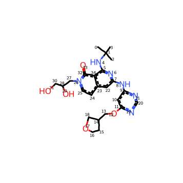 CC(C)(C)Nc1nc(Nc2cc(OCC3CCOC3)ncn2)cc2ccn(CC(O)CO)c(=O)c12